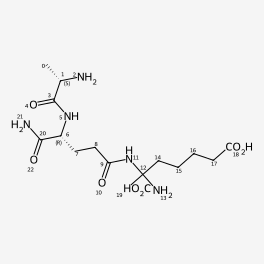 C[C@H](N)C(=O)N[C@H](CCC(=O)NC(N)(CCCCC(=O)O)C(=O)O)C(N)=O